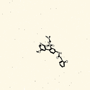 COc1cncc(-c2ccc(NC(=O)Cc3ccccc3Cl)cc2S(=O)(=O)/N=C/N(C)C)c1